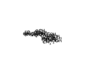 CC[C@H](C)[C@@H]([C@@H](CC(=O)N1CCC[C@H]1[C@H](OC)[C@@H](C)C(=O)NS(=O)(=O)c1ccc(NC(=O)C(F)(F)F)cc1)OC)N(C)C(=O)[C@@H](NC(=O)C(C)(C)NC(=O)O)C(C)C